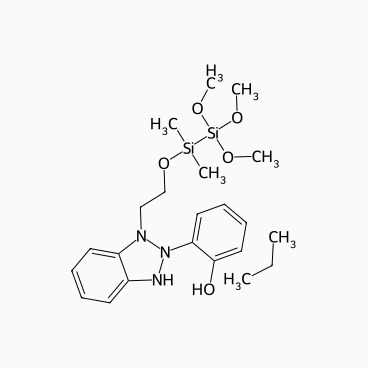 CCC.CO[Si](OC)(OC)[Si](C)(C)OCCN1c2ccccc2NN1c1ccccc1O